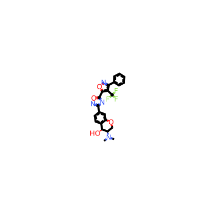 CN(C)[C@@H]1COc2cc(-c3noc(-c4onc(-c5ccccc5)c4C(F)(F)F)n3)ccc2[C@@H]1O